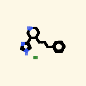 Cl.c1ccc(CCCC2CCNCC2c2c[nH]cn2)cc1